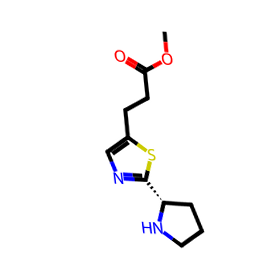 COC(=O)CCc1cnc([C@@H]2CCCN2)s1